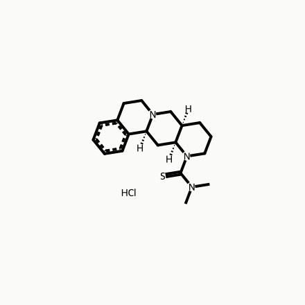 CN(C)C(=S)N1CCC[C@@H]2CN3CCc4ccccc4[C@@H]3C[C@@H]21.Cl